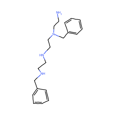 NCCN(CCNCCNCc1ccccc1)Cc1ccccc1